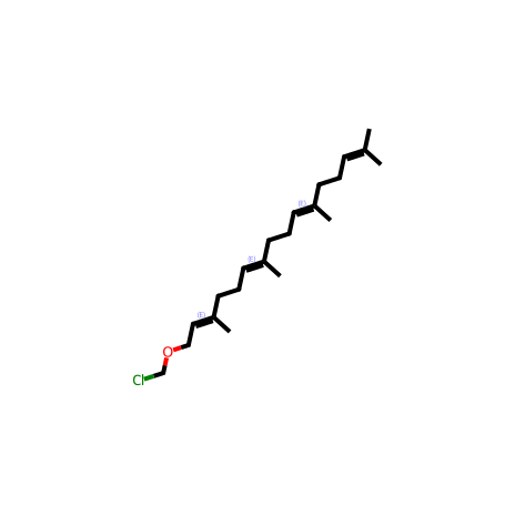 CC(C)=CCC/C(C)=C/CC/C(C)=C/CC/C(C)=C/COCCl